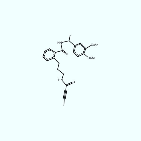 CC#CC(=O)NCCCc1ccccc1C(=O)NC(C)c1ccc(OC)c(OC)c1